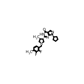 Cc1ccc(CN2C[C@@H](C)[C@H](c3nc4c(cnn4C4CCCC4)c(=O)[nH]3)C2)c(F)c1F